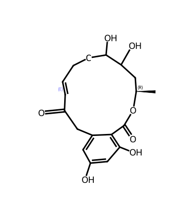 C[C@@H]1CC(O)C(O)CC/C=C/C(=O)Cc2cc(O)cc(O)c2C(=O)O1